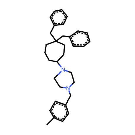 Cc1ccc(CN2CCN(C3CCCC(Cc4ccccc4)(Cc4ccccc4)CC3)CC2)cc1